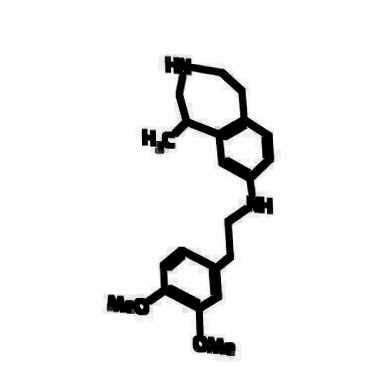 COc1ccc(CCNc2ccc3c(c2)C(C)CNCC3)cc1OC